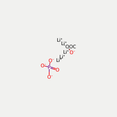 O=C([O-])[O-].O=P([O-])([O-])[O-].[Li+].[Li+].[Li+].[Li+].[Li+]